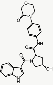 O=C(Nc1ccc(N2CCOCC2=O)cc1)[C@H]1C[C@@H](O)CN1C(=O)c1c[nH]c2ccccc12